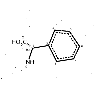 [NH][C@H](C(=O)O)c1ccccc1